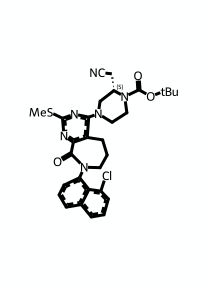 CSc1nc2c(c(N3CCN(C(=O)OC(C)(C)C)[C@@H](CC#N)C3)n1)CCCN(c1cccc3cccc(Cl)c13)C2=O